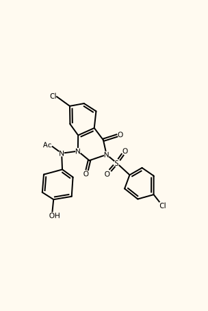 CC(=O)N(c1ccc(O)cc1)n1c(=O)n(S(=O)(=O)c2ccc(Cl)cc2)c(=O)c2ccc(Cl)cc21